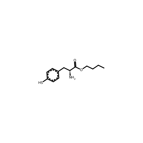 CCCCOC(=O)[C@@H](N)Cc1ccc(S)cc1